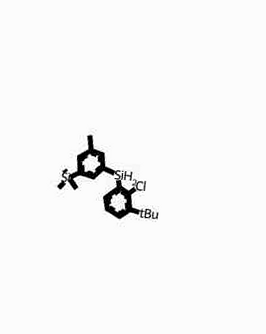 Cc1cc([SiH2]c2cccc(C(C)(C)C)c2Cl)cc([Si](C)(C)C)c1